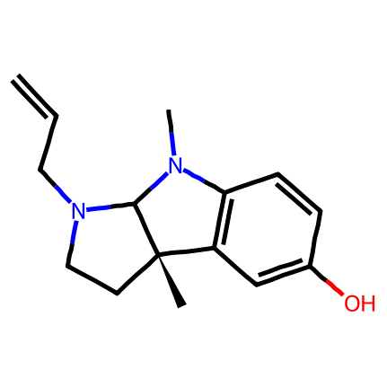 C=CCN1CC[C@@]2(C)c3cc(O)ccc3N(C)C12